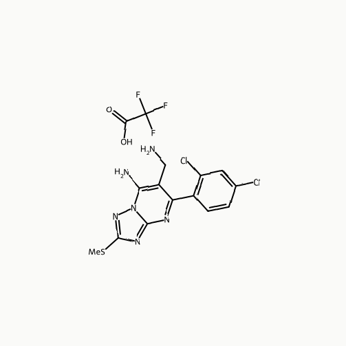 CSc1nc2nc(-c3ccc(Cl)cc3Cl)c(CN)c(N)n2n1.O=C(O)C(F)(F)F